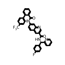 O=C(N[C@@H](c1ccc(F)cc1)c1ccccn1)c1cnc2cc(NC(=O)c3ccccc3-c3ccc(C(F)(F)F)cc3)ccc2c1